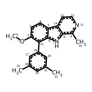 COc1ccc2c([nH]c3c(C)nccc32)c1-c1cc(C)cc(C)c1